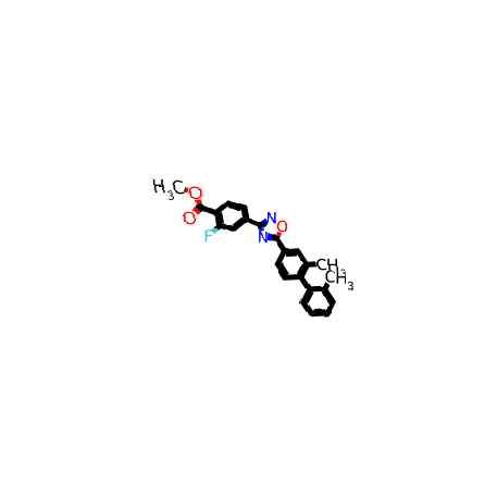 COC(=O)c1ccc(-c2noc(-c3ccc(-c4ccccc4C)c(C)c3)n2)cc1F